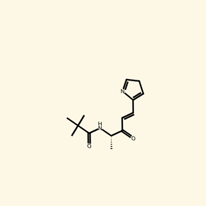 C[C@H](NC(=O)C(C)(C)C)C(=O)/C=C/C1=CCC=N1